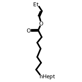 CCC=COC(=O)CCCCCCCCCCCCC